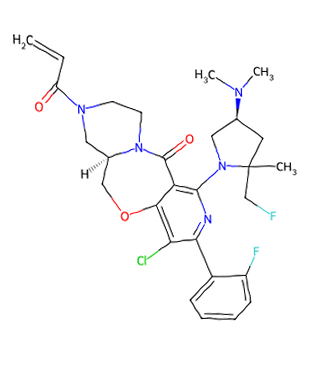 C=CC(=O)N1CCN2C(=O)c3c(N4C[C@@H](N(C)C)CC4(C)CF)nc(-c4ccccc4F)c(Cl)c3OC[C@H]2C1